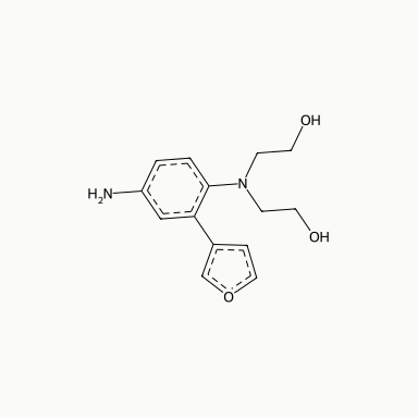 Nc1ccc(N(CCO)CCO)c(-c2ccoc2)c1